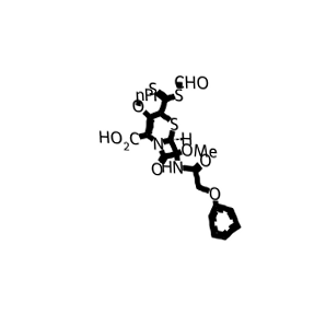 CCCOC1=C(C(=O)O)N2C(=O)C(NC(=O)COc3ccccc3)(OC)[C@@H]2SC1C(=S)SC=O